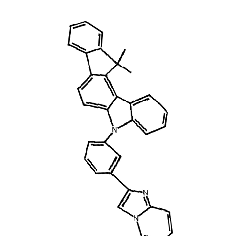 CC1(C)c2ccccc2-c2ccc3c(c21)c1ccccc1n3-c1cccc(-c2cn3ccccc3n2)c1